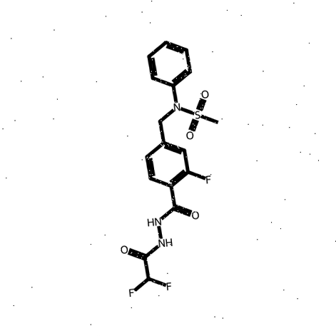 CS(=O)(=O)N(Cc1ccc(C(=O)NNC(=O)C(F)F)c(F)c1)c1ccccc1